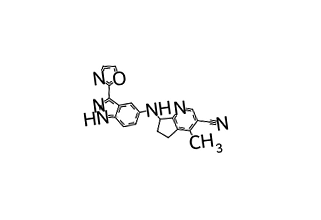 Cc1c(C#N)cnc2c1CCC2Nc1ccc2[nH]nc(-c3ncco3)c2c1